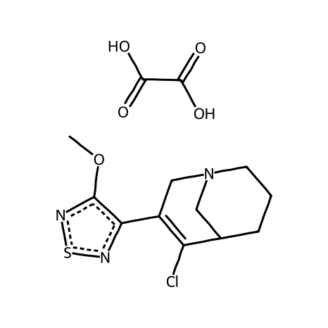 COc1nsnc1C1=C(Cl)C2CCCN(C1)C2.O=C(O)C(=O)O